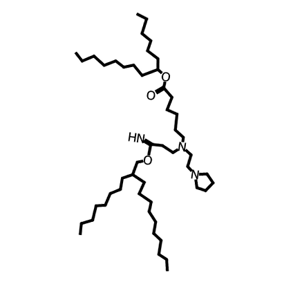 CCCCCCCCCCC(CCCCCCCC)COC(=N)CCN(CCCCCC(=O)OC(CCCCCC)CCCCCCCC)CCN1CCCC1